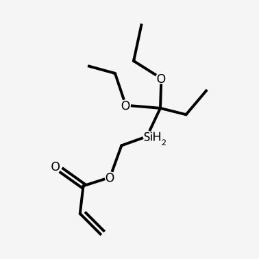 C=CC(=O)OC[SiH2]C(CC)(OCC)OCC